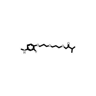 CNc1ccc(OCCCOCCCOCC(=O)C(C)C)c(F)c1